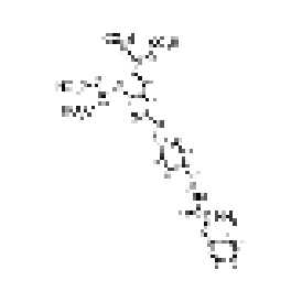 N[C@H](Cc1cccnc1)C(=O)NOCc1ccc(CNC(=O)CN(CCN(CC(=O)O)CC(=O)O)CCN(CC(=O)O)CC(=O)O)cc1